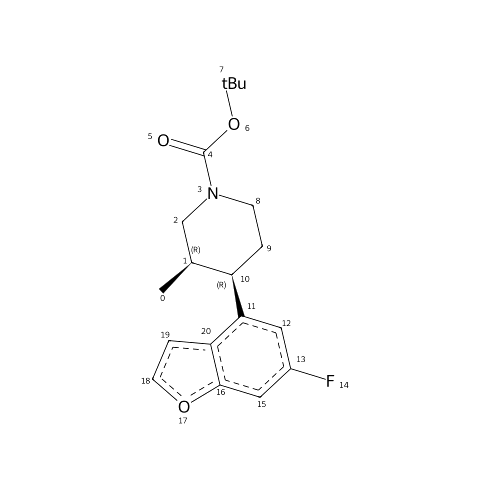 C[C@H]1CN(C(=O)OC(C)(C)C)CC[C@H]1c1cc(F)cc2occc12